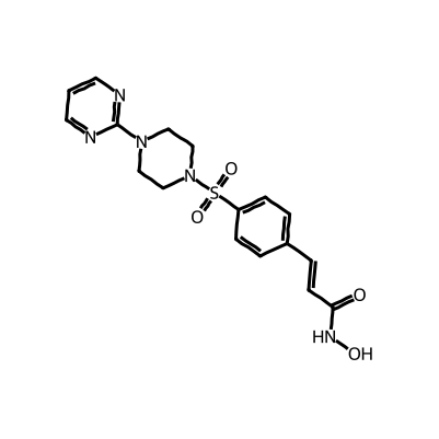 O=C(/C=C/c1ccc(S(=O)(=O)N2CCN(c3ncccn3)CC2)cc1)NO